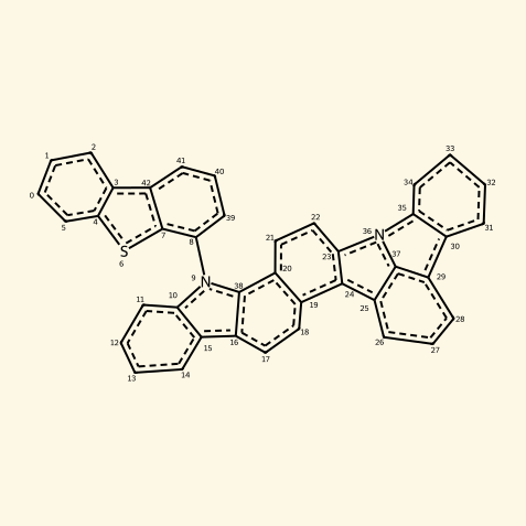 c1ccc2c(c1)sc1c(-n3c4ccccc4c4ccc5c(ccc6c5c5cccc7c8ccccc8n6c75)c43)cccc12